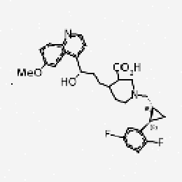 COc1ccc2nccc(C(O)CCC3CCN(C[C@@H]4C[C@H]4c4cc(F)ccc4F)CC3C(=O)O)c2c1